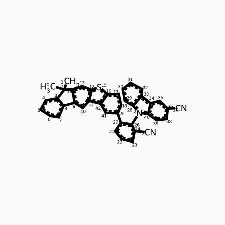 CC1(C)c2ccccc2-c2cc3c(cc21)sc1ccc(-c2cccc(C#N)c2-n2c4ccccc4c4cc(C#N)ccc42)cc13